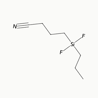 CCC[Si](F)(F)CCCC#N